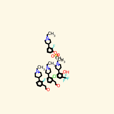 CCN1CCC(c2cccc(C(F)(F)F)c2O)CC1.CCN1CCC(c2cccc(CC=O)c2Cl)CC1.CCN1CCC(c2cccc(CC=O)c2F)CC1.CCN1CCC(c2cccc(OS(C)(=O)=O)c2F)CC1